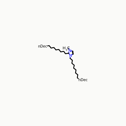 CCCCCCCCCCCCCCCCCCCN1C=CN(C)C1CCCCCCCCCCCCCCCCCC